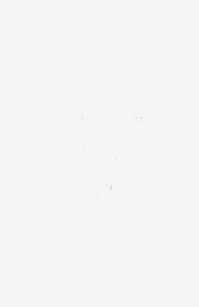 CCNC(=O)OC1C=CCCC1C(=O)OC